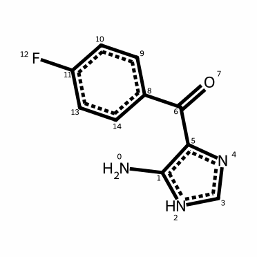 Nc1[nH]cnc1C(=O)c1ccc(F)cc1